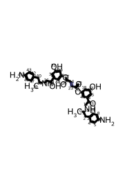 CC(Cc1ccc(N)cc1)NCC(O)c1cc(O)cc(OC(=O)/C=C/C(=O)Oc2cc(O)cc(C(O)CNC(C)Cc3ccc(N)cc3)c2)c1